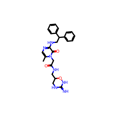 Cc1cnc(NCC(c2ccccc2)c2ccccc2)c(=O)n1CC(=O)NCC1CNC(=N)NO1